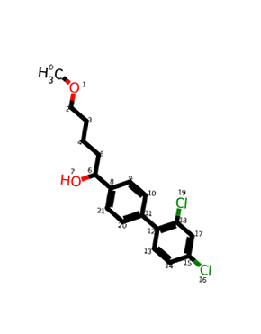 COCCCCC(O)c1ccc(-c2ccc(Cl)cc2Cl)cc1